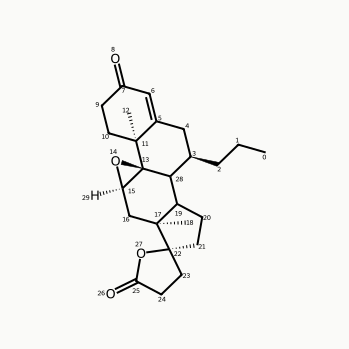 CCC[C@@H]1CC2=CC(=O)CC[C@]2(C)[C@@]23O[C@@H]2C[C@@]2(C)C(CC[C@@]24CCC(=O)O4)C13